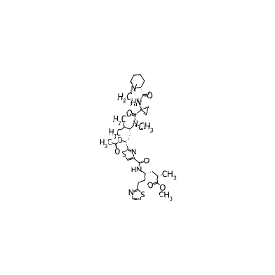 COC(=O)[C@@H](C)C[C@H](CCc1nccs1)NC(=O)c1csc([C@@H](C[C@H](C(C)C)N(C)C(=O)C2(NC(=O)[C@H]3CCCCN3C)CC2)OC(C)=O)n1